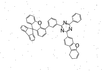 C1=Cc2oc3cc(-c4nc(-c5ccccc5)nc(-c5cccc(-c6cccc7c6Oc6ccccc6C76c7ccccc7-c7ccccc76)c5)n4)ccc3c2CC1